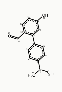 CN(C)c1ccc(-c2cc(O)ccc2P=O)cc1